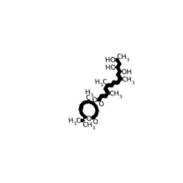 CC(=CC=CC(C)=C[C@@H](O)[C@@H](O)C[C@H](C)O)C=C(C)C=CC(=O)O[C@H]1CCCC(=O)O[C@@H](C(C)C)CC=CC[C@@H]1C